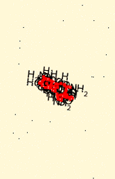 CC[C@@H]1C2CNC(=O)[C@H](CCCCN)NC(=O)C(NC(=O)CCN3C(=O)C=CC3=O)C(NC(=O)CCN3C(=O)C=CC3=O)C(=O)N[C@@H](CCCCN)C(=O)NCCC(=O)Nc3cc4[nH]c5c(c4cc3OC2=O)C[C@@H]2NC(=O)[C@H]([C@@H](C)CC)NC(=O)[C@@H]3C[C@@H](O)CN3C(=O)[C@H](CC(N)=O)NC(=O)[C@H](C[S+]5[O-])NC(=O)CNC(=O)[C@H]1CNC(=O)CNC2=O